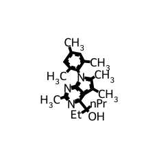 CCCC(O)(CC)c1nc(C)nc2c1c(C)c(C)n2-c1c(C)cc(C)cc1C